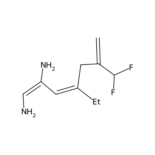 C=C(C/C(=C\C(N)=C/N)CC)C(F)F